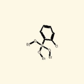 CCO[Si](OCC)(OCC)c1ccccc1Cl